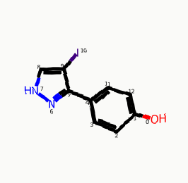 Oc1ccc(-c2n[nH]cc2I)cc1